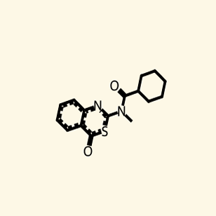 CN(C(=O)C1CCCCC1)c1nc2ccccc2c(=O)s1